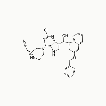 N#CC[C@H]1CN(c2nc(Cl)nc3c(C(O)c4cc(OCc5ccccc5)cc5ccccc45)c[nH]c23)CCN1